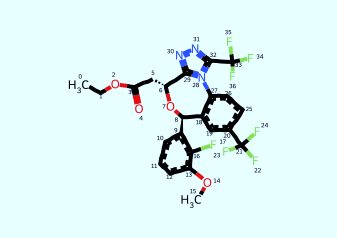 CCOC(=O)C[C@H]1O[C@H](c2cccc(OC)c2F)c2cc(C(F)(F)F)ccc2-n2c1nnc2C(F)(F)F